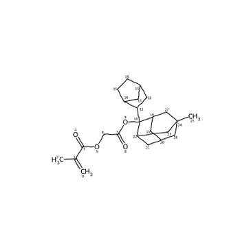 C=C(C)C(=O)OCC(=O)OC1(C2CC3CCC2C3)C2CC3CC1CC(C)(C3)C2